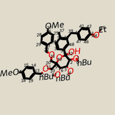 CCCCOC1[C@@H](OCCCC)[C@H](OCCCC)C(COCc2ccc(OC)cc2)(COCc2ccc(OC)cc2)OC1(O)c1ccc(C)c(Cc2ccc(OCC)cc2)c1